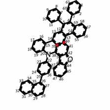 c1ccc(-c2c(-c3ccccc3)c3cc(-c4ccccc4N(c4ccc(-c5cccc6ccccc56)cc4)c4cccc5oc6ccccc6c45)ccc3c3ccccc23)cc1